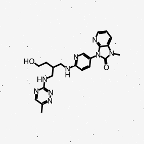 Cc1cnc(NCC(CCO)CNc2ccc(-n3c(=O)n(C)c4cccnc43)cn2)nn1